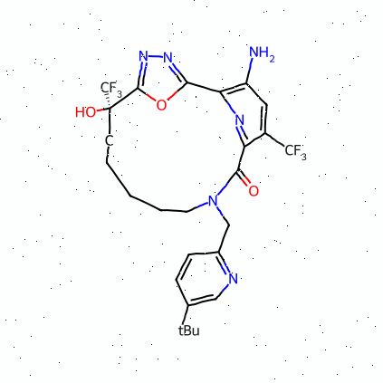 CC(C)(C)c1ccc(CN2CCCCC[C@](O)(C(F)(F)F)c3nnc(o3)-c3nc(c(C(F)(F)F)cc3N)C2=O)nc1